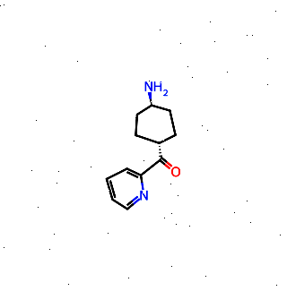 N[C@H]1CC[C@H](C(=O)c2ccccn2)CC1